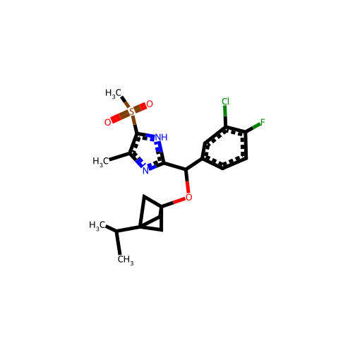 Cc1nc(C(OC23CC(C(C)C)(C2)C3)c2ccc(F)c(Cl)c2)[nH]c1S(C)(=O)=O